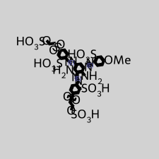 COc1ccc(/N=N/c2cc(/N=N/c3ccc(S(=O)(=O)CCOS(=O)(=O)O)cc3S(=O)(=O)O)c(N)c(/N=N/c3ccc(S(=O)(=O)CCOS(=O)(=O)O)cc3S(=O)(=O)O)c2N)c(S(=O)(=O)O)c1